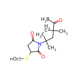 BC(=O)C(C)(C)CC(C)(C)N1C(=O)CC(SCCCCCCCC)C1=O